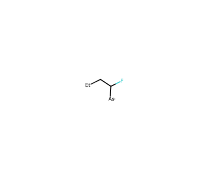 CCCC(F)[As]